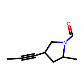 CC#CC1CC(C)N(C=O)C1